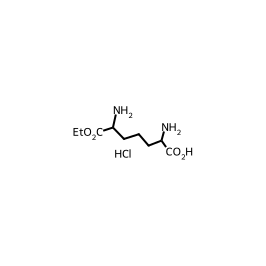 CCOC(=O)C(N)CCCC(N)C(=O)O.Cl